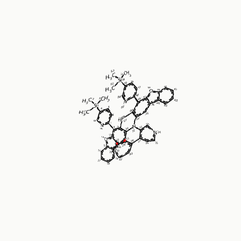 C[Si](C)(C)c1ccc(-c2c3c(cc4c2oc2ccccc24)N(c2cnccc2-c2ccncc2)c2cc4c(oc5ccccc54)c(-c4ccc([Si](C)(C)C)cn4)c2P3)nc1